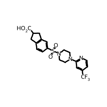 O=C(O)C1Cc2ccc(S(=O)(=O)N3CCN(c4cc(C(F)(F)F)ccn4)CC3)cc2C1